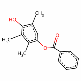 Cc1cc(OC(=O)c2ccccc2)c(C)c(C)c1O